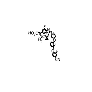 C/C(=C\C(=O)O)c1cc(F)c2nc(CN3CCC(Oc4cccc(COc5ccc(C#N)cc5F)n4)CC3)n(CC3(CC#N)CC3)c2c1